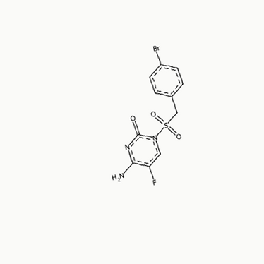 Nc1nc(=O)n(S(=O)(=O)Cc2ccc(Br)cc2)cc1F